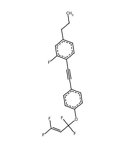 CCCc1ccc(C#Cc2ccc(OC(F)(F)C=C(F)F)cc2)c(F)c1